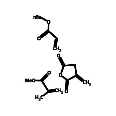 C=C(C)C(=O)OC.C=C1CC(=O)OC1=O.C=CC(=O)OCCCC